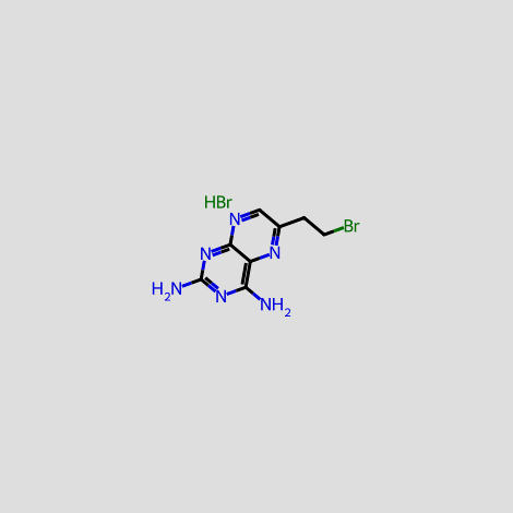 Br.Nc1nc(N)c2nc(CCBr)cnc2n1